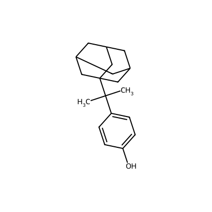 CC(C)(c1ccc(O)cc1)C12CC3CC(CC(C3)C1)C2